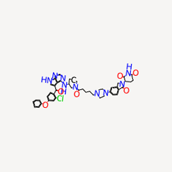 O=C1CCC(N2Cc3cc(N4CCN(CCCCC(=O)N5CCCC(Nc6ncnc7[nH]cc(C(=O)c8ccc(Oc9ccccc9)cc8Cl)c67)C5)CC4)ccc3C2=O)C(=O)N1